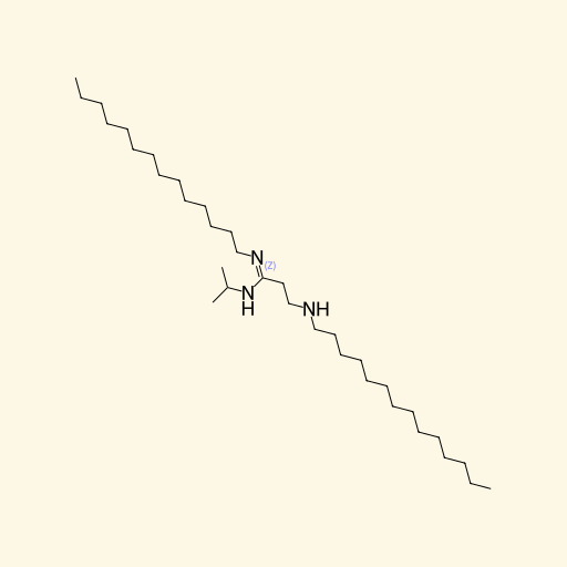 CCCCCCCCCCCCCC/N=C(/CCNCCCCCCCCCCCCCC)NC(C)C